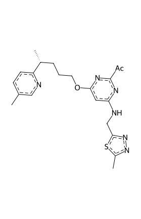 CC(=O)c1nc(NCc2nnc(C)s2)cc(OCCC[C@@H](C)c2ccc(C)cn2)n1